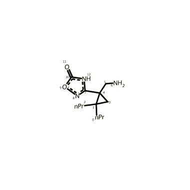 CCCC1(CCC)CC1(CN)c1noc(=O)[nH]1